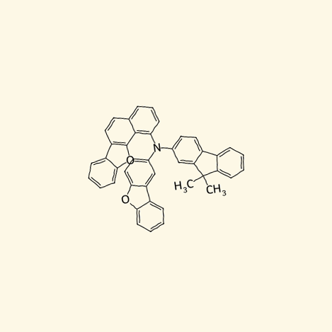 CC1(C)c2ccccc2-c2ccc(N(c3ccc4oc5ccccc5c4c3)c3cccc4ccc5c6ccccc6oc5c34)cc21